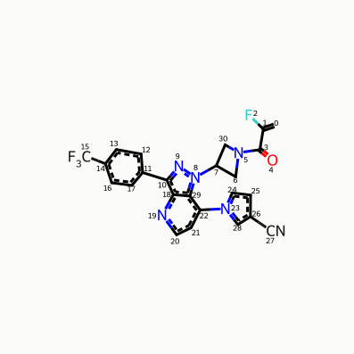 C=C(F)C(=O)N1CC(n2nc(-c3ccc(C(F)(F)F)cc3)c3nccc(-n4ccc(C#N)c4)c32)C1